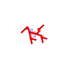 CCCCCCCCCCC(CC)OC(=O)C(C)(C)CCCCN(CCCCCCCC(=O)OC(CCCCCCCC)CCCCCCCC)CCNC(=O)CCC(=O)NCCN(CCCCCCC(C)(C)C(=O)OC(CCCCCCCC)CCCCCCCC)CCCCC(C)(C)C(=O)OC(CC)CCCCCCCCCC